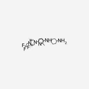 Cc1nc(N2C[C@@H](C)N(CC(F)(F)F)[C@@H](C)C2)ccc1NC[C@H]1CC[C@H](N)CC1